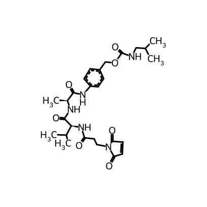 CC(C)CNC(=O)OCc1ccc(NC(=O)[C@H](C)NC(=O)[C@@H](NC(=O)CCN2C(=O)C=CC2=O)C(C)C)cc1